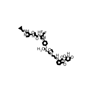 CN(C[C@@H]1CN(CCCNc2cccc3c2C(=O)N(C2CCC(=O)NC2=O)C3=O)CCO1)C[C@H]1CC[C@H](n2cc(NC(=O)c3coc(-c4ccnc(NCC5CC5)c4)n3)c(C(F)F)n2)CC1